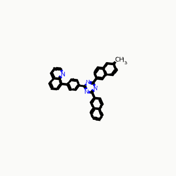 CC1C=CC2C=C(c3nc(-c4ccc(-c5cccc6cccnc56)cc4)nc(-c4ccc5ccccc5c4)n3)C=CC2C1